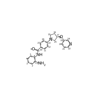 Nc1ccccc1NC(=O)c1ccc(N2CC[C@@H](Oc3cccnc3)C2)cc1